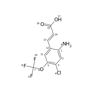 Nc1cc(Cl)c(OC(F)(F)F)cc1C=CC(=O)O